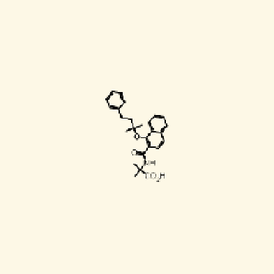 CC(C)(CCc1ccccc1)Oc1c(C(=O)NC(C)(C)C(=O)O)ccc2ccccc12